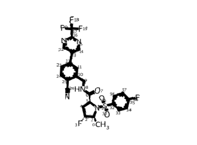 C[C@H]1[C@H](F)C[C@@H](C(=O)NCc2cc(-c3cnc(C(F)(F)F)nc3)ccc2C#N)N1S(=O)(=O)c1ccc(F)cc1